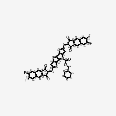 O=C1C(=Cc2cc3c(s2)c2sc4cc(C=C5C(=O)c6cc7cc(F)c(F)cc7cc6C5=O)sc4c2n3C(=O)OCc2ccccc2)C(=O)c2cc3cc(F)c(F)cc3cc21